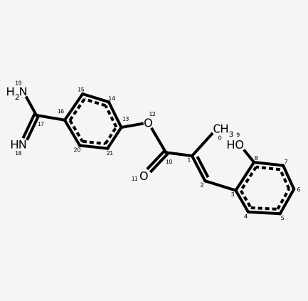 C/C(=C\c1ccccc1O)C(=O)Oc1ccc(C(=N)N)cc1